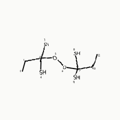 CCC(S)(S)OOC(S)(S)CC